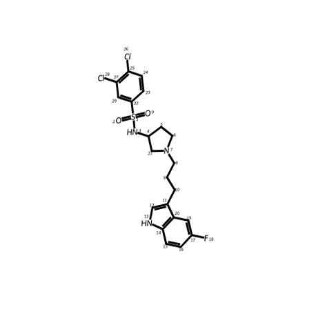 O=S(=O)(NC1CCN(CCCc2c[nH]c3ccc(F)cc23)C1)c1ccc(Cl)c(Cl)c1